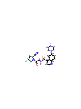 N#C[C@@H]1CC(F)(F)CN1C(=O)CNC(=O)c1ccnc2ccc(N3CCNCC3)cc12